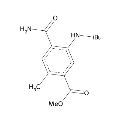 CCC(C)Nc1cc(C(=O)OC)c(C)cc1C(N)=O